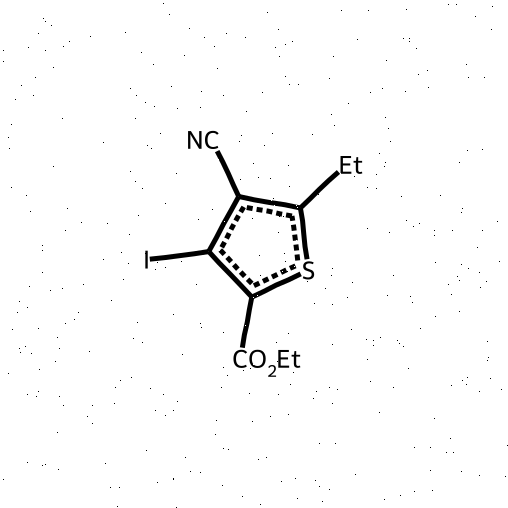 CCOC(=O)c1sc(CC)c(C#N)c1I